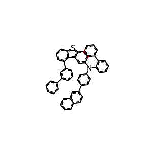 c1ccc(-c2cccc(-c3cccc4sc5ccc(N(c6ccc(-c7ccc8ccccc8c7)cc6)c6ccccc6-c6ccccc6)cc5c34)c2)cc1